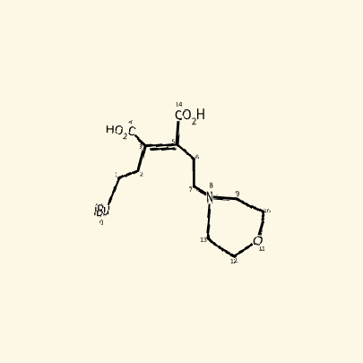 CCC(C)CCC(C(=O)O)=C(CCN1CCOCC1)C(=O)O